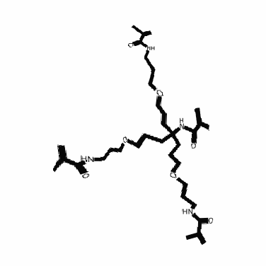 C=C(C)C(=O)NCCCOCCCC(CCCOCCCNC(=O)C(=C)C)(CCCOCCCNC(=O)C(=C)C)NC(=O)C(=C)C